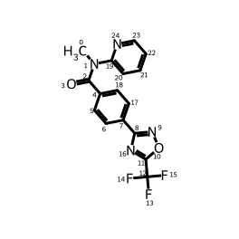 CN(C(=O)c1ccc(-c2noc(C(F)(F)F)n2)cc1)c1ccccn1